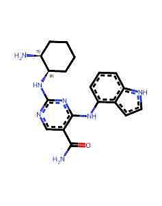 NC(=O)c1cnc(N[C@@H]2CCCC[C@@H]2N)nc1Nc1cccc2[nH]ccc12